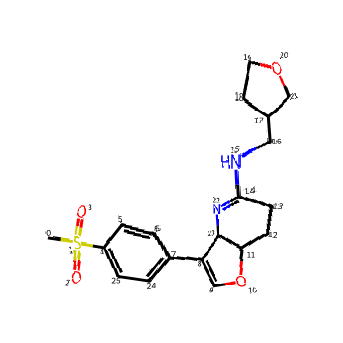 CS(=O)(=O)c1ccc(C2=COC3CCC(NCC4CCOC4)=NC23)cc1